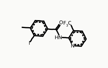 Cc1ccc(C(=O)Nc2ncccc2C(F)(F)F)cc1I